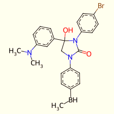 CBc1ccc(N2CC(O)(c3cccc(N(C)C)c3)N(c3ccc(Br)cc3)C2=O)cc1